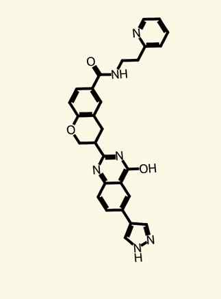 O=C(NCCc1ccccn1)c1ccc2c(c1)CC(c1nc(O)c3cc(-c4cn[nH]c4)ccc3n1)CO2